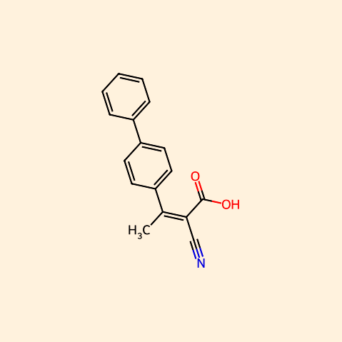 CC(=C(C#N)C(=O)O)c1ccc(-c2ccccc2)cc1